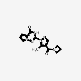 Cc1c(C(=O)N2CCC2)cnn1-c1nn2cccc2c(=O)[nH]1